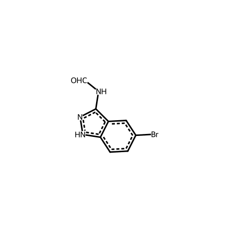 O=CNc1n[nH]c2ccc(Br)cc12